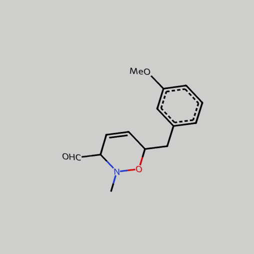 COc1cccc(CC2C=CC(C=O)N(C)O2)c1